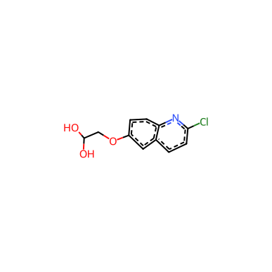 OC(O)COc1ccc2nc(Cl)ccc2c1